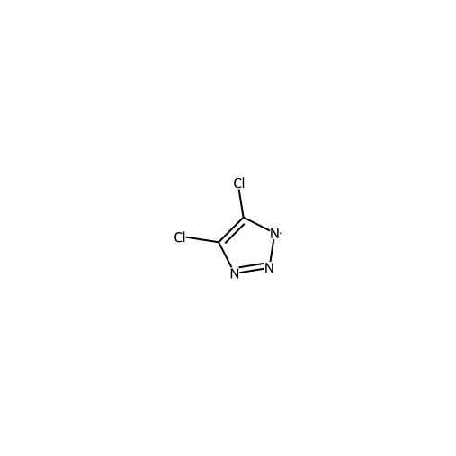 ClC1=C(Cl)N=N[N]1